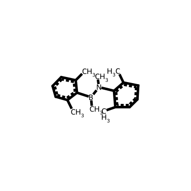 CB(c1c(C)cccc1C)N(C)c1c(C)cccc1C